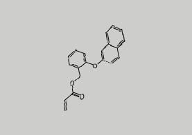 C=CC(=O)OCc1ccccc1Oc1ccc2ccccc2c1